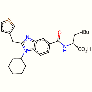 CCC(C)C[C@H](NC(=O)c1ccc2c(c1)nc(Cc1ccsc1)n2C1CCCCC1)C(=O)O